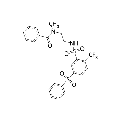 CN(CCNS(=O)(=O)c1cc(S(=O)(=O)c2ccccc2)ccc1C(F)(F)F)C(=O)c1ccccc1